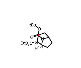 CCOC(=O)[C@@H]1CCC2CC[C@@H]1N2C(=O)OC(C)(C)C